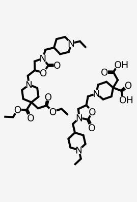 CCN1CCC(CN2CC(CN3CCC(CC(=O)O)(C(=O)O)CC3)OC2=O)CC1.CCOC(=O)CC1(C(=O)OCC)CCN(CC2CN(CC3CCN(CC)CC3)C(=O)O2)CC1